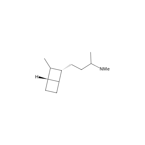 CNC(C)CC[C@H]1C(C)[C@H]2CCC21